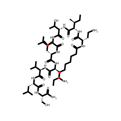 CCCCCCCCCC(=O)N[C@@H](CCN)C(=O)N[C@H](C(=O)N[C@H](C(=O)N[C@H](CC(C)C)C(=O)N[C@@H](CC(C)C)C(=O)N[C@@H](CCN)C(=O)N[C@@H](C(=O)N[C@@H](CC(C)C)C(=O)N[C@@H](CO)C(N)=O)C(C)C)C(C)O)[C@@H](C)CC